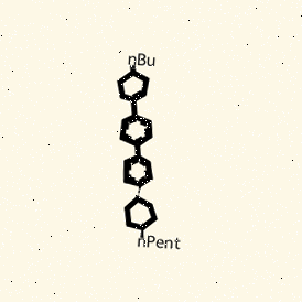 CCCCC[C@H]1CC[C@H](c2ccc(-c3ccc(C4=CCC(CCCC)CC4)cc3)cc2)CC1